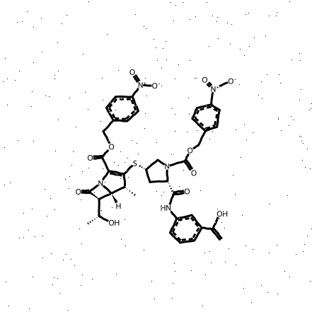 C=C(O)c1cccc(NC(=O)[C@@H]2C[C@H](SC3=C(C(=O)OCc4ccc([N+](=O)[O-])cc4)N4C(=O)[C@H]([C@@H](C)O)[C@H]4[C@H]3C)CN2C(=O)OCc2ccc([N+](=O)[O-])cc2)c1